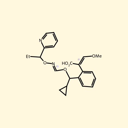 CCC(O/N=C/OC(c1ccccc1/C(=C\OC)C(=O)O)C1CC1)c1ccccn1